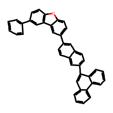 c1ccc(-c2ccc3oc4ccc(-c5ccc6cc(-c7cc8ccccc8c8ccccc78)ccc6c5)cc4c3c2)cc1